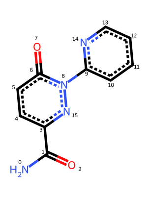 NC(=O)c1ccc(=O)n(-c2ccccn2)n1